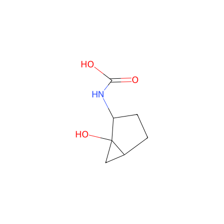 O=C(O)NC1CCC2CC21O